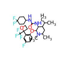 CC(C)C1CC(C)N(C)C(Oc2ccc(F)cc2C2(C(F)(F)F)CCO2)C1NC(=O)NC1CCC(F)(F)CC1